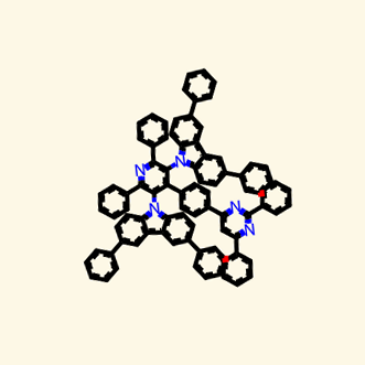 c1ccc(-c2ccc3c(c2)c2cc(-c4ccccc4)ccc2n3-c2c(-c3ccccc3)nc(-c3ccccc3)c(-n3c4ccc(-c5ccccc5)cc4c4cc(-c5ccccc5)ccc43)c2-c2ccc(-c3cc(-c4ccccc4)nc(-c4ccccc4)n3)cc2)cc1